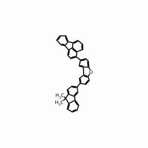 CC1(C)c2ccccc2-c2cc(-c3ccc4oc5ccc(-c6ccc7c8c(cccc68)-c6ccccc6-7)cc5c4c3)ccc21